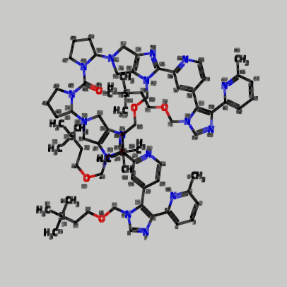 Cc1cccc(-c2ncn(COCC[Si](C)(C)C)c2-c2ccnc(-c3nc4c(n3COCC[Si](C)(C)C)CN(C3CCCN3C(=O)N3CCCC3N3Cc5nc(-c6cc(-c7c(-c8cccc(C)n8)ncn7COCC[Si](C)(C)C)ccn6)n(COCC[Si](C)(C)C)c5C3)C4)c2)n1